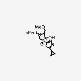 CCCCCN1C[N+]([O-])(c2nnc(C3CC3)s2)C(O)C1COC